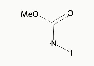 COC(=O)[N]I